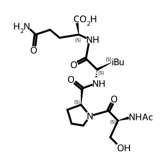 CC[C@H](C)[C@H](NC(=O)[C@@H]1CCCN1C(=O)[C@H](CO)NC(C)=O)C(=O)N[C@@H](CCC(N)=O)C(=O)O